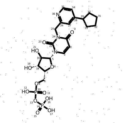 O=c1ccn([C@@H]2O[C@H](COP(=O)(O)OP(=O)(O)O)[C@H](O)C2O)c(=O)n1Cc1cc(C2CCCC2)ccn1